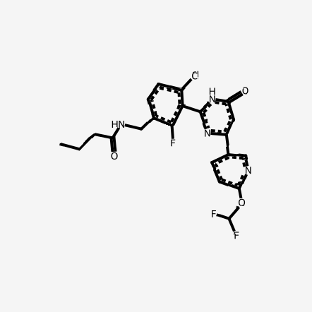 CCCC(=O)NCc1ccc(Cl)c(-c2nc(-c3ccc(OC(F)F)nc3)cc(=O)[nH]2)c1F